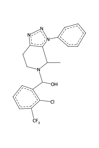 CC1c2c(nnn2-c2ccccc2)CCN1C(O)c1cccc(C(F)(F)F)c1Cl